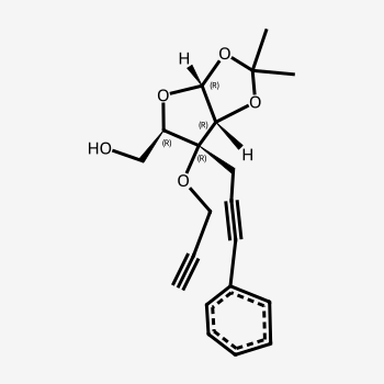 C#CCO[C@]1(CC#Cc2ccccc2)[C@@H](CO)O[C@@H]2OC(C)(C)O[C@@H]21